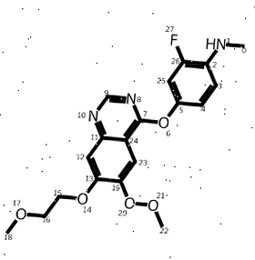 CNc1ccc(Oc2ncnc3cc(OCCOC)c(OOC)cc23)cc1F